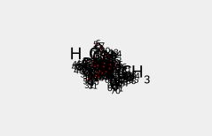 CC1(C)c2ccccc2-c2cc3c4ccccc4n(-c4ccc(N(c5ccc(-n6c7ccccc7c7cc8c(cc76)C(C)(C)c6ccccc6-8)cc5-c5nccc6ccccc56)c5ccc(-n6c7ccccc7c7cc8c(cc76)C(C)(C)c6ccccc6-8)cc5-c5nccc6ccccc56)c(-c5nccc6ccccc56)c4)c3cc21